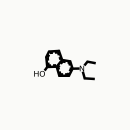 CCN(CC)c1ccc2c(O)cccc2c1